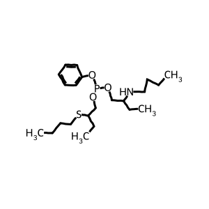 CCCCNC(CC)COP(OCC(CC)SCCCC)Oc1ccccc1